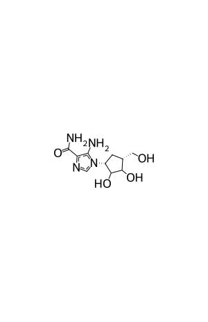 NC(=O)c1ncn([C@@H]2C[C@H](CO)C(O)C2O)c1N